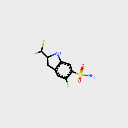 NS(=O)(=O)c1cc2c(cc1F)CC(C(F)F)N2